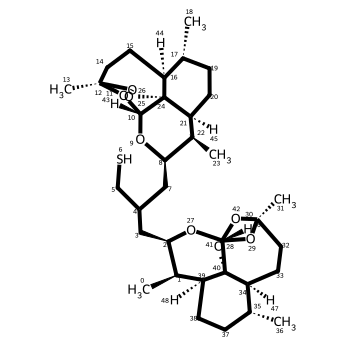 C[C@H]1[C@@H](CC(CS)C[C@H]2O[C@@H]3O[C@]4(C)CC[C@H]5[C@H](C)CC[C@@H]([C@H]2C)[C@@]35OO4)O[C@@H]2O[C@]3(C)CC[C@H]4[C@H](C)CC[C@@H]1[C@@]24OO3